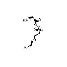 C=CC(=O)OOS(=O)(=O)CCOCCC